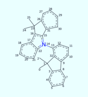 CC1(C)c2ccccc2-c2cccc(-n3c4c(c5ccccc53)C(C)(C)c3ccccc3-4)c21